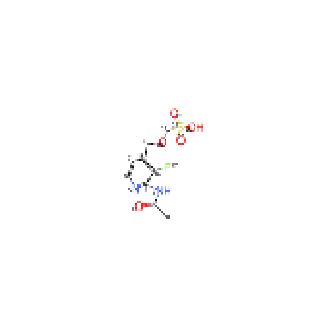 CC(=O)Nc1nccc(COCS(=O)(=O)O)c1F